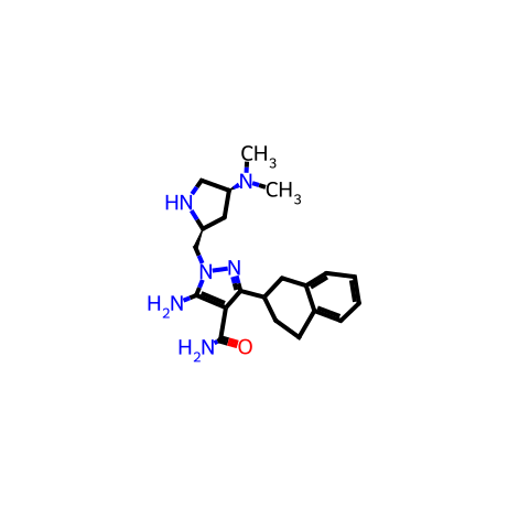 CN(C)[C@@H]1CN[C@H](Cn2nc(C3CCc4ccccc4C3)c(C(N)=O)c2N)C1